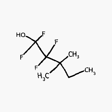 CCC(C)(C)C(F)(F)C(O)(F)F